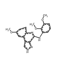 COc1ccc2nc(Nc3cccc(OC)c3OC)c3n[nH]cc3c2c1